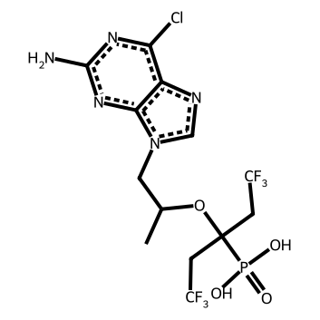 CC(Cn1cnc2c(Cl)nc(N)nc21)OC(CC(F)(F)F)(CC(F)(F)F)P(=O)(O)O